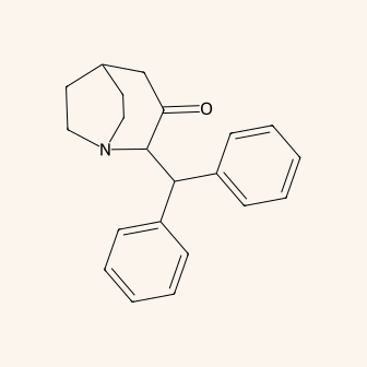 O=C1CC2CCN(CC2)C1C(c1ccccc1)c1ccccc1